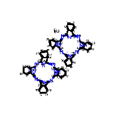 [Ru].c1ccc2c(c1)-c1nc-2nc2[nH]c(nc3nc(nc4[nH]c(n1)c1ccccc41)-c1ccccc1-3)c1ccccc21.c1ccc2c(c1)-c1nc-2nc2[nH]c(nc3nc(nc4[nH]c(n1)c1ccccc41)-c1ccccc1-3)c1ccccc21